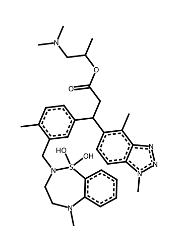 Cc1ccc(C(CC(=O)OC(C)CN(C)C)c2ccc3c(nnn3C)c2C)cc1CN1CCN(C)c2ccccc2S1(O)O